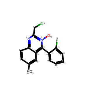 O=[N+]([O-])c1ccc2nc(CCl)[n+]([O-])c(-c3ccccc3F)c2c1